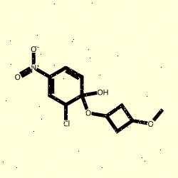 COC1CC(OC2(O)C=CC([N+](=O)[O-])=CC2Cl)C1